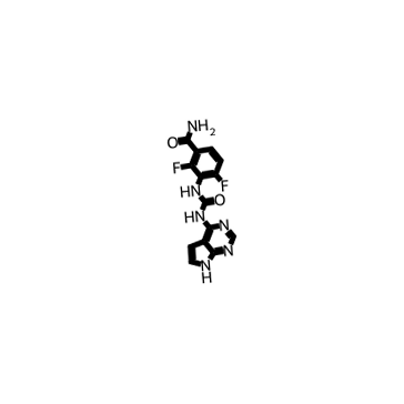 NC(=O)c1ccc(F)c(NC(=O)Nc2ncnc3[nH]ccc23)c1F